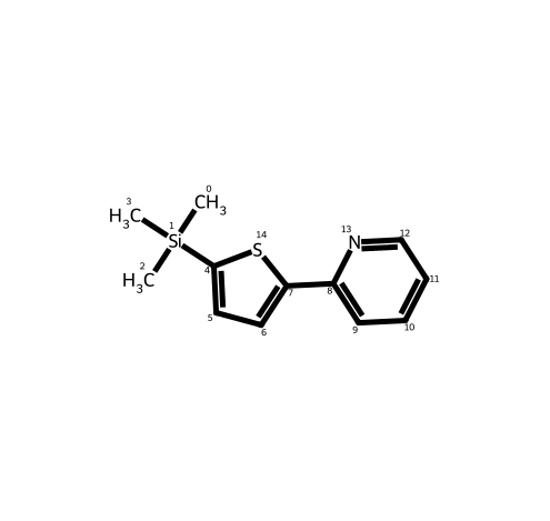 C[Si](C)(C)c1ccc(-c2ccccn2)s1